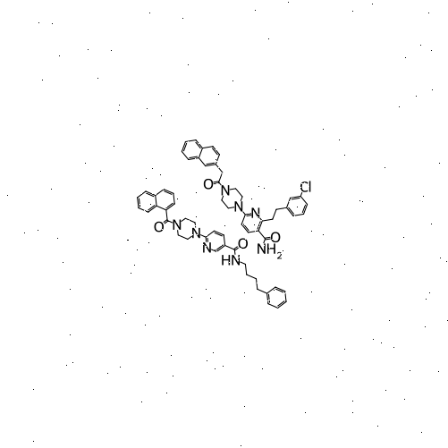 NC(=O)c1ccc(N2CCN(C(=O)Cc3ccc4ccccc4c3)CC2)nc1CCc1cccc(Cl)c1.O=C(NCCCCc1ccccc1)c1ccc(N2CCN(C(=O)c3cccc4ccccc34)CC2)nc1